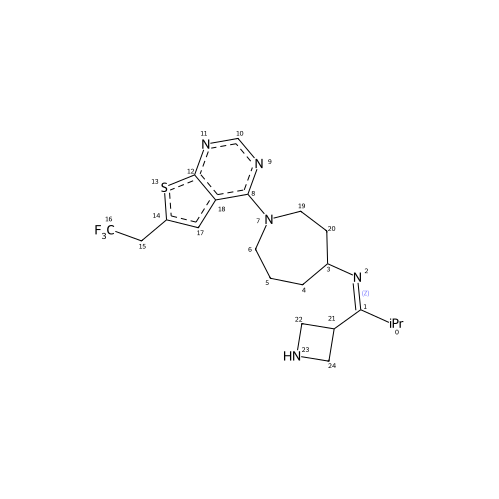 CC(C)/C(=N/C1CCCN(c2ncnc3sc(CC(F)(F)F)cc23)CC1)C1CNC1